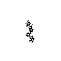 O=C1CCC(N2Cc3cc(C[C@H]4CCCC[C@@H]4NCc4c(F)cncc4F)ccc3C2=O)C(=O)N1